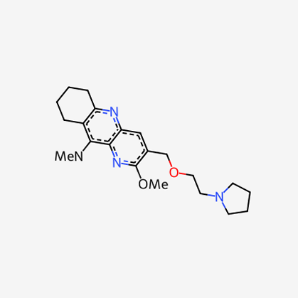 CNc1c2c(nc3cc(COCCN4CCCC4)c(OC)nc13)CCCC2